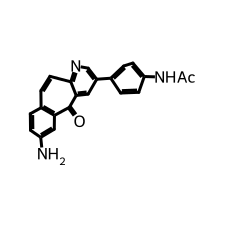 CC(=O)Nc1ccc(-c2cnc3ccc4ccc(N)cc4c(=O)c3c2)cc1